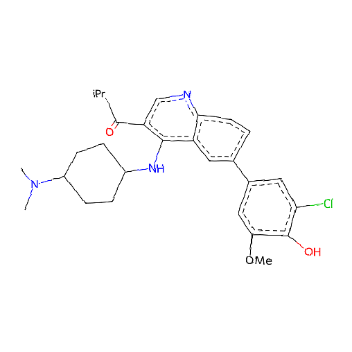 COc1cc(-c2ccc3ncc(C(=O)C(C)C)c(NC4CCC(N(C)C)CC4)c3c2)cc(Cl)c1O